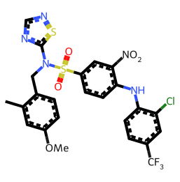 COc1ccc(CN(c2ncns2)S(=O)(=O)c2ccc(Nc3ccc(C(F)(F)F)cc3Cl)c([N+](=O)[O-])c2)c(C)c1